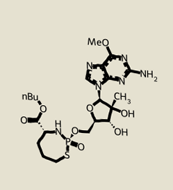 CCCCOC(=O)[C@H]1CCCS[P@](=O)(OC[C@H]2O[C@@H](n3cnc4c(OC)nc(N)nc43)[C@](C)(O)[C@@H]2O)N1